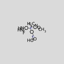 COc1ccc(/C(=C(\c2ccc(/C=C/C(=O)O)cc2)c2ccc3c(c2)C(F)NN3)C2CCC2)c(C)n1